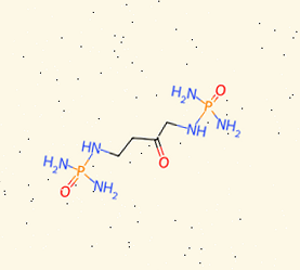 NP(N)(=O)NCCC(=O)CNP(N)(N)=O